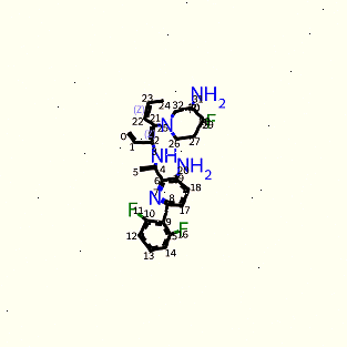 C=C/C(NC(=C)c1nc(-c2c(F)cccc2F)ccc1N)=C(\C=C/C)N1CC[C@@H](F)[C@H](N)C1